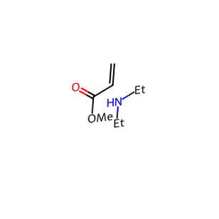 C=CC(=O)OC.CCNCC